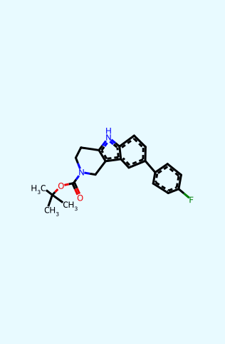 CC(C)(C)OC(=O)N1CCc2[nH]c3ccc(-c4ccc(F)cc4)cc3c2C1